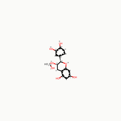 O=S(=O)(O)O.Oc1cc(O)c2c(c1)O[C@H](c1ccc(O)c(O)c1)[C@H](O)C2